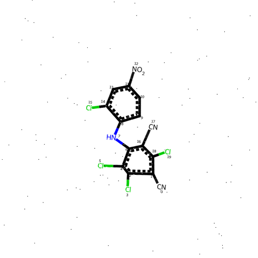 N#Cc1c(Cl)c(Cl)c(Nc2ccc([N+](=O)[O-])cc2Cl)c(C#N)c1Cl